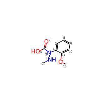 CNN(C(=O)O)c1ccccc1OC